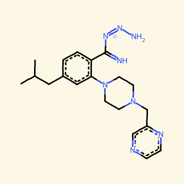 CC(C)Cc1ccc(C(=N)/N=N\N)c(N2CCN(Cc3cnccn3)CC2)c1